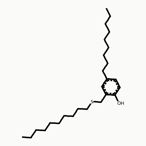 CCCCCCCCCCSCc1cc(CCCCCCCCC)ccc1O